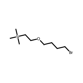 C[Si](C)(C)CCO[CH]CCCBr